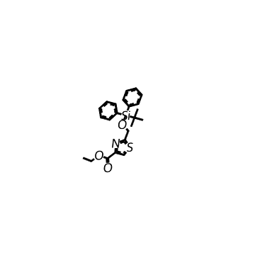 CCOC(=O)c1csc(CO[Si](c2ccccc2)(c2ccccc2)C(C)(C)C)n1